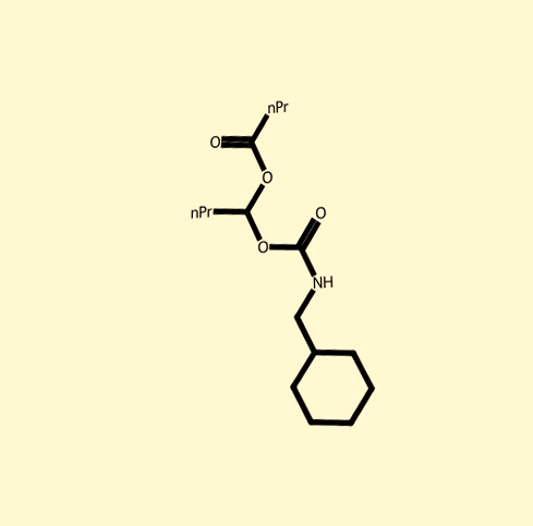 CCCC(=O)OC(CCC)OC(=O)NCC1CCCCC1